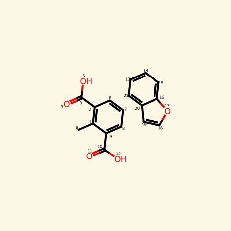 Cc1c(C(=O)O)cccc1C(=O)O.c1ccc2occc2c1